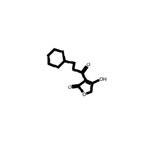 O=C(CCC1CCCCC1)C1=C(O)COC1=O